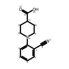 N#Cc1ccccc1N1CCC(C(=O)O)CC1